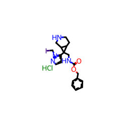 Cl.O=C(NCC1(c2ccnn2CI)C2CCNCC21)OCc1ccccc1